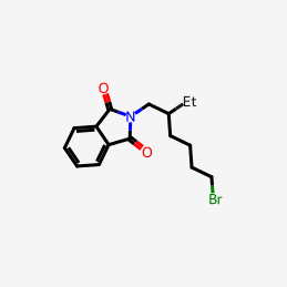 CCC(CCCCBr)CN1C(=O)c2ccccc2C1=O